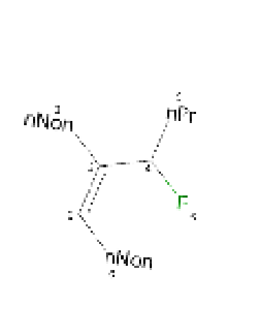 CCCCCCCCCC=C(CCCCCCCCC)C(F)CCC